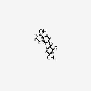 Cc1ccc(Oc2ccc3c(c2)CCCC3O)c(F)c1